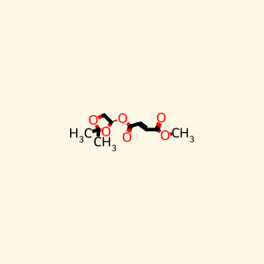 COC(=O)/C=C/C(=O)O[C@H]1COC(C)(C)O1